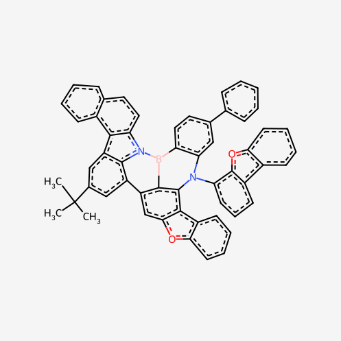 CC(C)(C)c1cc2c3c(c1)c1c4ccccc4ccc1n3B1c3ccc(-c4ccccc4)cc3N(c3cccc4c3oc3ccccc34)c3c1c-2cc1oc2ccccc2c31